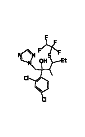 CCC(SC(F)(F)C(F)F)C(C)C(O)(Cn1cncn1)c1ccc(Cl)cc1Cl